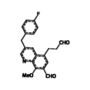 COc1c(C=O)cc(CCC=O)c2cc(Cc3ccc(F)cc3)cnc12